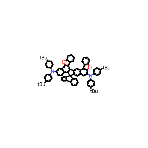 CC(C)(C)c1ccc(N(c2ccc(C(C)(C)C)cc2)c2ccc3c4c(c5c6ccccc6oc5c3c2)-c2cc3c(cc2C42c4ccccc4-c4ccccc42)cc(N(c2ccc(C(C)(C)C)cc2)c2ccc(C(C)(C)C)cc2)c2oc4ccccc4c23)cc1